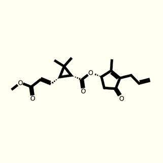 C=CCC1=C(C)[C@@H](OC(=O)[C@@H]2[C@H](C=CC(=O)OC)C2(C)C)CC1=O